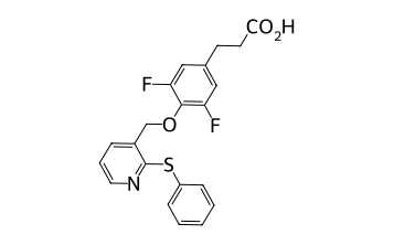 O=C(O)CCc1cc(F)c(OCc2cccnc2Sc2ccccc2)c(F)c1